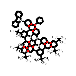 CC(C)(C)c1cc(-c2ccc3c(c2)N(c2c(-c4ccccc4)cc(C(C)(C)C)cc2-c2ccccc2)c2cc(-c4cc(C(C)(C)C)cc(C(C)(C)C)c4)cc4c2B3c2ccc(N(c3ccccc3)c3ccc(-n5c6ccccc6c6ccccc65)cc3)cc2N4c2c(-c3ccccc3)cc(C(C)(C)C)cc2-c2ccccc2)cc(C(C)(C)C)c1